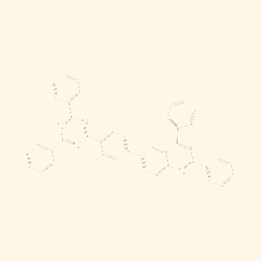 c1ccc(-c2nc(-c3ccccc3)nc(-c3ccc(-c4ccc5nc(-c6ccccc6)c6sc7ccccc7c6c5c4)cc3)n2)cc1